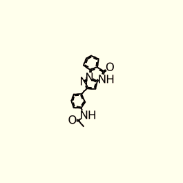 CC(=O)Nc1cccc(-c2cc3[nH]c(=O)c4ccccc4n3n2)c1